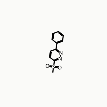 CS(=O)(=O)c1ccc(-c2ccccc2)nn1